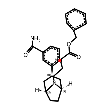 NC(=O)c1cccc([C@H]2C[C@H]3CC[C@@H](C2)N3CCNC(=O)OCc2ccccc2)c1